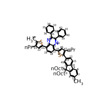 CCCCCCCCC1(CCCCCCCC)c2cc(C)ccc2-c2ccc(-c3sc(-c4ccc(-c5cc(CCC)c(C)s5)c5nc(-c6ccccc6)c(-c6ccccc6)nc45)cc3CCC)cc21